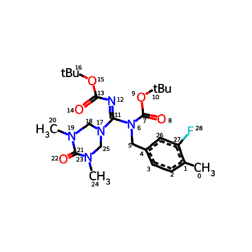 Cc1ccc(CN(C(=O)OC(C)(C)C)/C(=N/C(=O)OC(C)(C)C)N2CN(C)C(=O)N(C)C2)cc1F